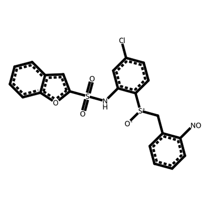 O=Nc1ccccc1C[S+]([O-])c1ccc(Cl)cc1NS(=O)(=O)c1cc2ccccc2o1